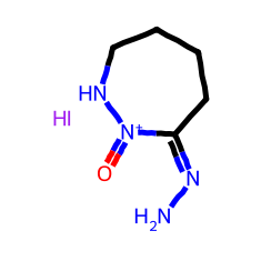 I.NN=C1CCCCN[N+]1=O